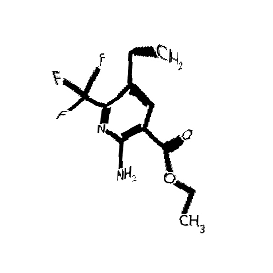 C=Cc1cc(C(=O)OCC)c(N)nc1C(F)(F)F